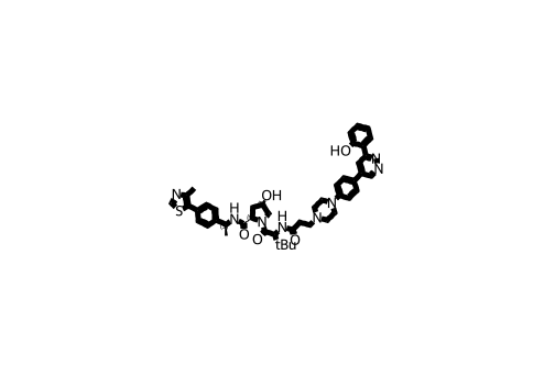 Cc1ncsc1-c1ccc([C@H](C)NC(=O)[C@@H]2C[C@@H](O)CN2C(=O)C(NC(=O)CCN2CCN(c3ccc(-c4cnnc(-c5ccccc5O)c4)cc3)CC2)C(C)(C)C)cc1